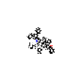 C1=CCC(c2cc(-c3ccccc3)cc(-c3cc(-c4cccc5c4-c4ccccc4C54c5ccccc5-c5c4ccc4c5oc5ccccc54)cc(-c4cc(-c5ccccc5)cc(-c5ccccc5)c4)n3)c2)C=C1